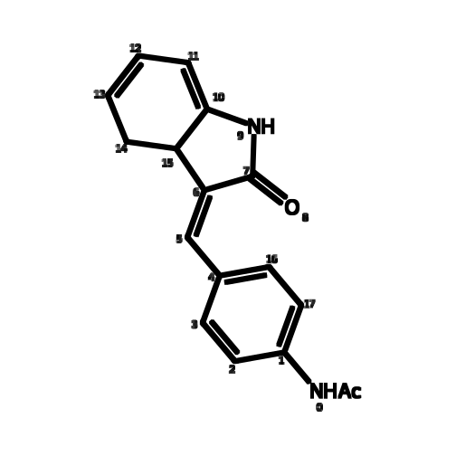 CC(=O)Nc1ccc(C=C2C(=O)NC3=CC=CCC32)cc1